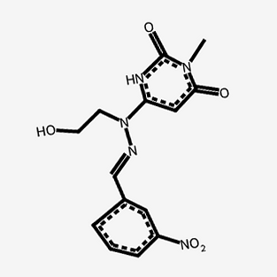 Cn1c(=O)cc(N(CCO)/N=C/c2cccc([N+](=O)[O-])c2)[nH]c1=O